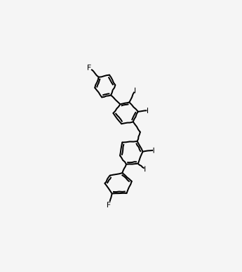 Fc1ccc(-c2ccc(Cc3ccc(-c4ccc(F)cc4)c(I)c3I)c(I)c2I)cc1